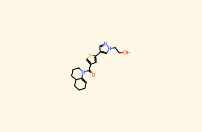 O=C(c1csc(-c2cnn(CCO)c2)c1)N1CCCC2CCCC=C21